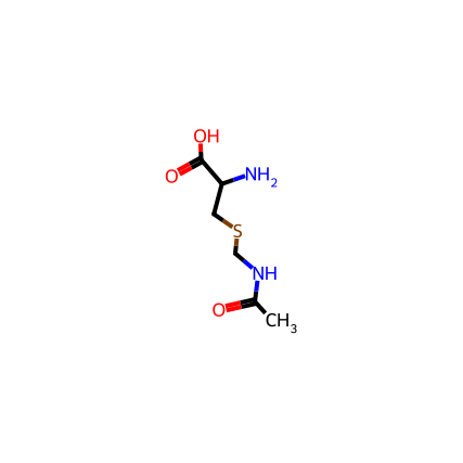 CC(=O)NCSCC(N)C(=O)O